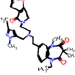 CCN1C(=O)C(C)(C)C(=O)N(C)c2cc(CCN(CCn3ccc4occc4c3=O)Cc3cc(C)nn3C)ccc21